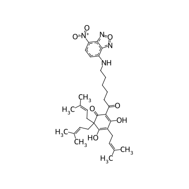 CC(C)=CCC1=C(O)C(CC=C(C)C)(CC=C(C)C)C(=O)C(C(=O)CCCCCNc2ccc([N+](=O)[O-])c3nonc23)=C1O